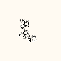 Nc1ncnc2c1ncn2[C@@H]1O[C@H](COP(=O)(O)O)[C@H](O)[C@H]1OF